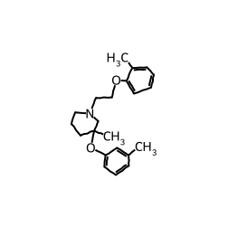 Cc1cccc(OC2(C)CCCN(CCOc3ccccc3C)C2)c1